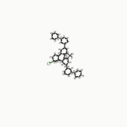 CC1(C)c2cc(-c3cccc(-c4ccccc4)c3)cc3c4ccc(Cl)cc4c4cc(-c5cccc(-c6ccccc6)c5)cc1c4c23